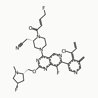 C=C/C(Cl)=c1/c(-c2ncc3c(N4CCN(C(=O)/C=C/CF)[C@@H](CC#N)C4)nc(OC[C@@H]4C[C@@H](F)CN4C)nc3c2F)cncc1=C